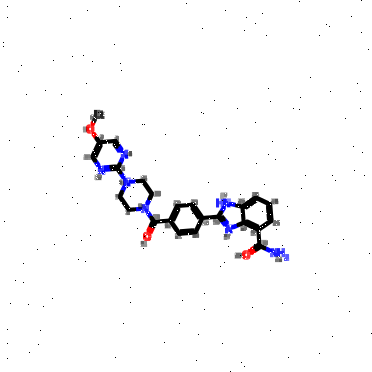 CCOc1cnc(N2CCN(C(=O)c3ccc(-c4nc5c(C(N)=O)cccc5[nH]4)cc3)CC2)nc1